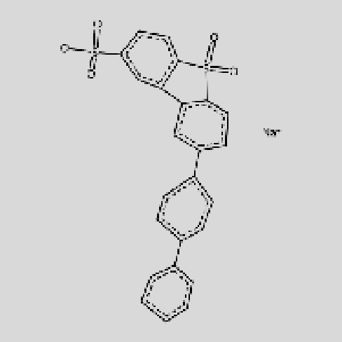 O=S(=O)([O-])c1ccc2c(c1)-c1cc(-c3ccc(-c4ccccc4)cc3)ccc1S2(=O)=O.[Na+]